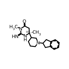 CN1C(=N)N[C@](C)(C2CCCN(C3Cc4ccccc4C3)C2)CC1=O